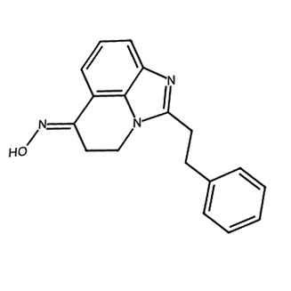 ON=C1CCn2c(CCc3ccccc3)nc3cccc1c32